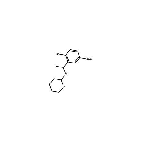 COc1cc(C(C)OC2CCCCO2)c(Br)cn1